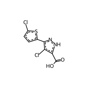 O=C(O)c1[nH]nc(-c2ccc(Cl)s2)c1Cl